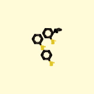 [Al+3].[S-]c1ccccc1.[S-]c1ccccc1.[S-]c1ccccc1